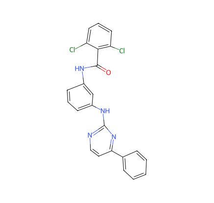 O=C(Nc1cccc(Nc2nccc(-c3ccccc3)n2)c1)c1c(Cl)cccc1Cl